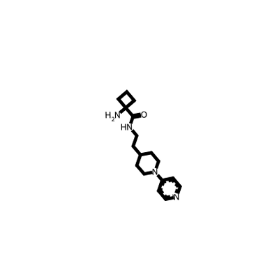 NC1(C(=O)NCCC2CCN(c3ccncc3)CC2)CCC1